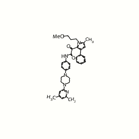 COCCCn1c(C)cc(-c2ccccc2)c1C(=O)C(=O)Nc1ccc(N2CCN(c3cc(C)cc(C)n3)CC2)cc1